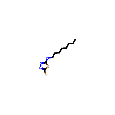 CCCCCCCCNc1nnc(S)s1